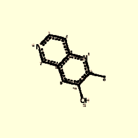 Cc1nc2ccncc2cc1O